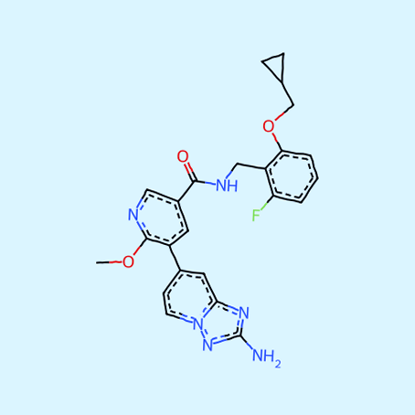 COc1ncc(C(=O)NCc2c(F)cccc2OCC2CC2)cc1-c1ccn2nc(N)nc2c1